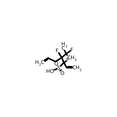 C=CCC(F)(C(C)(C)F)C(F)(C=C)S(=O)(=O)O